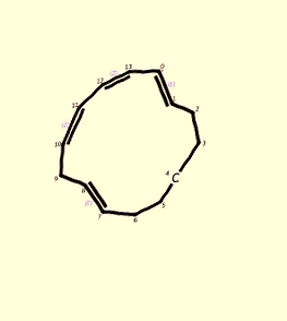 [C]1=C\CCCCC/C=C/C\C=C/C=C\1